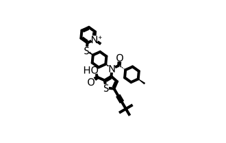 C[n+]1ccccc1S[C@H]1CC[C@H](N(c2cc(C#CC(C)(C)C)sc2C(=O)O)C(=O)[C@H]2CC[C@H](C)CC2)CC1